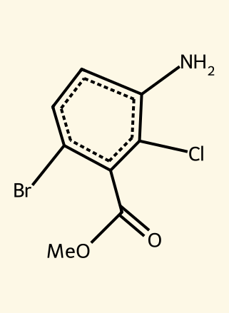 COC(=O)c1c(Br)ccc(N)c1Cl